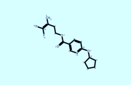 CC(CCOC(=O)c1ccc(OC2CCCC2)nc1)=C(F)F